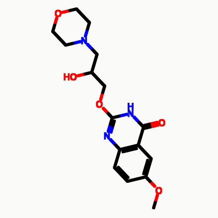 COc1ccc2nc(OCC(O)CN3CCOCC3)[nH]c(=O)c2c1